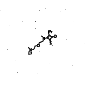 CCN(C)CCOCCN(C)c1c(C(C)C)c(=O)c1=S